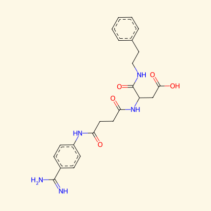 N=C(N)c1ccc(NC(=O)CCC(=O)NC(CC(=O)O)C(=O)NCCc2ccccc2)cc1